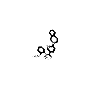 COc1ccccc1N(C)C(=O)c1ccc(N2CCc3ccccc3C2)nc1